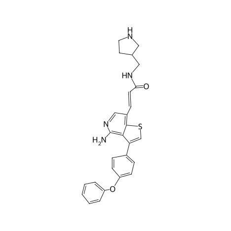 Nc1ncc(C=CC(=O)NCC2CCNC2)c2scc(-c3ccc(Oc4ccccc4)cc3)c12